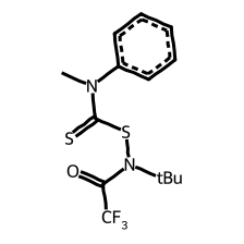 CN(C(=S)SN(C(=O)C(F)(F)F)C(C)(C)C)c1ccccc1